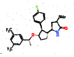 CN[C@@H]1C[C@H]([C@@H]2CC[C@H](O[C@H](C)c3cc(C(F)(F)F)cc(C(F)(F)F)c3)[C@H]2c2ccc(F)cc2)NC1=O